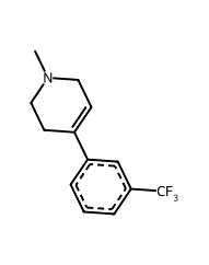 CN1CC=C(c2cccc(C(F)(F)F)c2)CC1